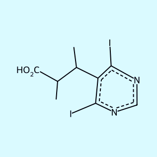 CC(C(=O)O)C(C)c1c(I)ncnc1I